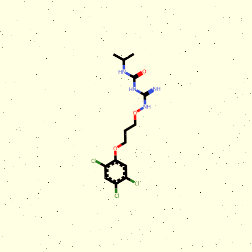 CC(C)NC(=O)NC(=N)NOCCCOc1cc(Cl)c(Cl)cc1Cl